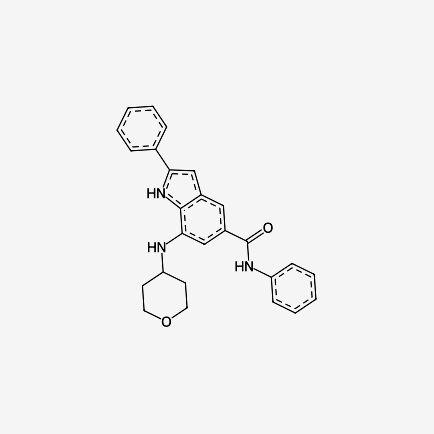 O=C(Nc1ccccc1)c1cc(NC2CCOCC2)c2[nH]c(-c3ccccc3)cc2c1